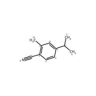 C[C](C)c1ccc(C#N)c(C)c1